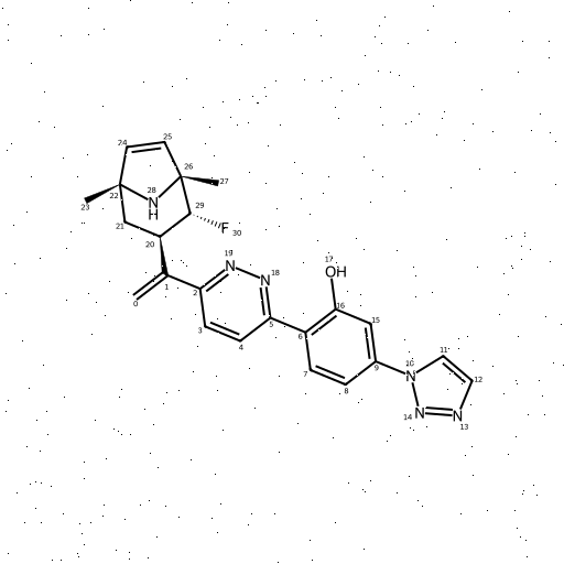 C=C(c1ccc(-c2ccc(-n3ccnn3)cc2O)nn1)[C@H]1C[C@]2(C)C=C[C@@](C)(N2)[C@@H]1F